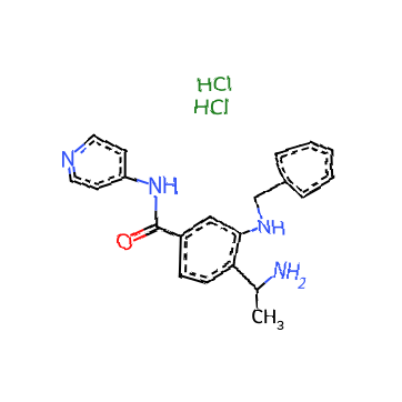 CC(N)c1ccc(C(=O)Nc2ccncc2)cc1NCc1ccccc1.Cl.Cl